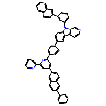 c1ccc(-c2ccc3cc(-c4cc(-c5ccc(-c6ccc7c(c6)c6ccncc6n7-c6cccc(-c7ccc8ccccc8c7)c6)cc5)nc(-c5ccccn5)c4)ccc3c2)cc1